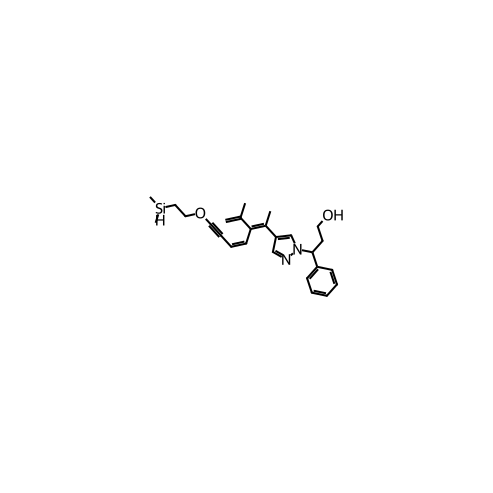 C=C(C)C(/C=C\C#COCC[SiH](C)C)=C(\C)c1cnn(C(CCO)c2ccccc2)c1